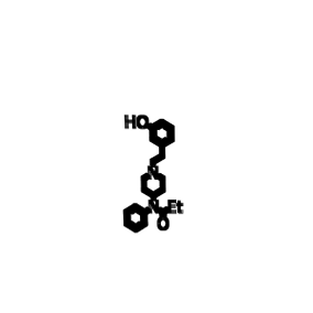 CCC(=O)N(c1ccccc1)C1CCN(CCc2cccc(O)c2)CC1